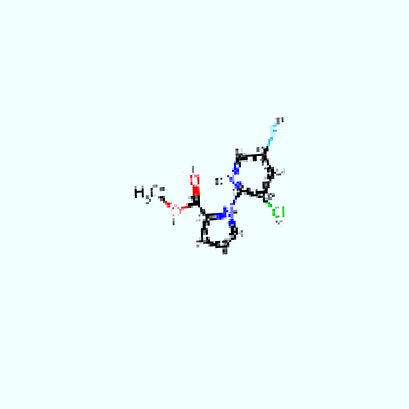 COC(=O)c1cccn1-c1ncc(F)cc1Cl